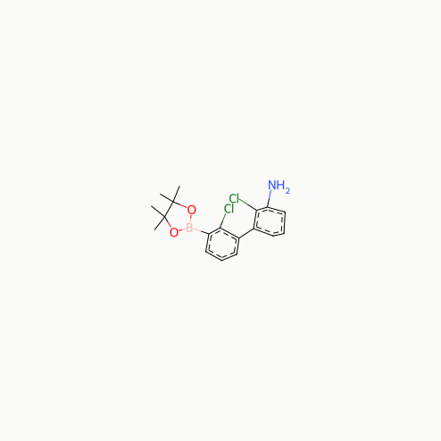 CC1(C)OB(c2cccc(-c3cccc(N)c3Cl)c2Cl)OC1(C)C